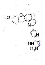 N=C(/N=C\N)c1ccc(-c2cnc3c(n2)N(C[C@H]2CC[C@@H](O)CC2)C(=O)CN3)cn1